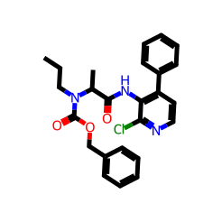 CCCN(C(=O)OCc1ccccc1)C(C)C(=O)Nc1c(-c2ccccc2)ccnc1Cl